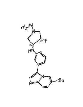 CC(C)(C)c1ccc2ncc(-c3cccc(N[C@H]4CN(N)C[C@@H]4F)n3)n2c1